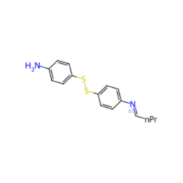 CCC/C=N/c1ccc(SSc2ccc(N)cc2)cc1